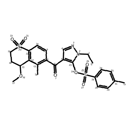 CCn1ncc(C(=O)c2ccc3c(c2C)C(OC)CCS3(=O)=O)c1OS(=O)(=O)c1ccc(C)cc1